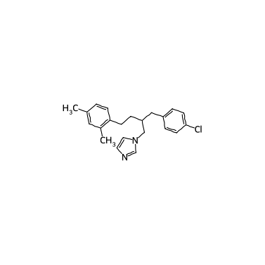 Cc1ccc(CCC(Cc2ccc(Cl)cc2)Cn2ccnc2)c(C)c1